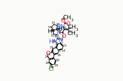 COC(=O)N[C@H](C(=O)N1[C@H](c2nc3ccc4cc5c(cc4c3[nH]2)OCc2cc(Cl)ccc2-5)C[C@@H]2CCC[C@@H]21)C(C)C